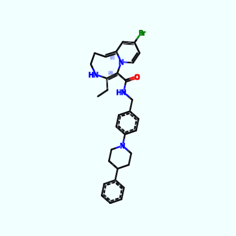 CC/C1=C(\C(=O)NCc2ccc(N3CCC(c4ccccc4)CC3)cc2)N2C=CC(Br)=C/C2=C\CCN1